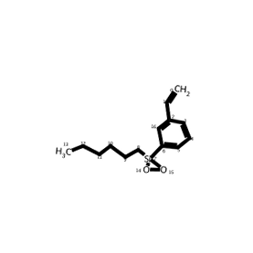 C=Cc1cccc([Si]2(CCCCCC)OO2)c1